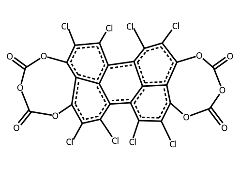 O=C1OC(=O)Oc2c(Cl)c(Cl)c3c4c(Cl)c(Cl)c5c6c(c(Cl)c(Cl)c(c7c(Cl)c(Cl)c(c2c73)O1)c64)OC(=O)OC(=O)O5